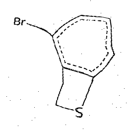 Brc1cccc2c1CS2